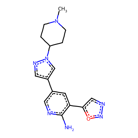 CN1CCC(n2cc(-c3cnc(N)c(-c4cnno4)c3)cn2)CC1